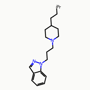 CC(C)CCC1CCN(CCCn2ncc3ccccc32)CC1